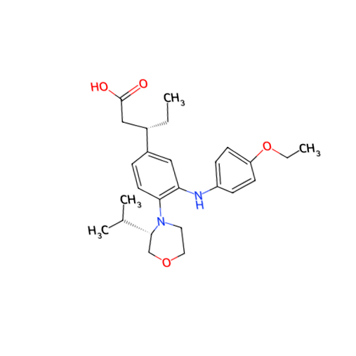 CCOc1ccc(Nc2cc([C@@H](CC)CC(=O)O)ccc2N2CCOC[C@@H]2C(C)C)cc1